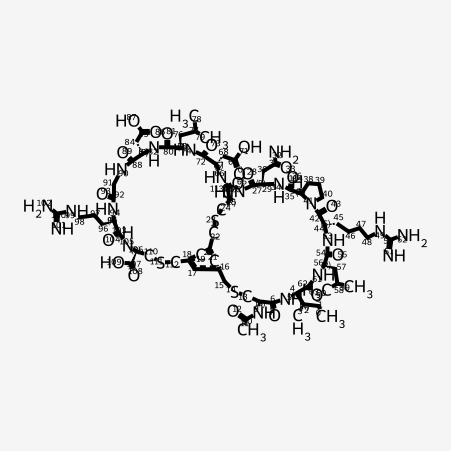 CC[C@@H](C)[C@H]1NC(=O)[C@@H](NC(C)=O)CSCc2cc3cc(c2)CSC[C@H](NC(=O)[C@@H](CC(N)=O)NC(=O)[C@H]2CCCN2C(=O)[C@H](CCCCNC(=N)N)NC(=O)[C@@H](CC(C)C)NC1=O)C(=O)N[C@@H](CC(=O)O)C(=O)N[C@H](CC(C)C)C(=O)N[C@@H](CC(=O)O)C(=O)NCC(=O)N[C@H](CCCNC(=N)N)C(=O)N[C@H](C(=O)O)CSC3